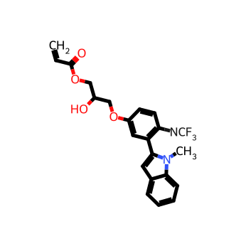 C=CC(=O)OCC(O)COc1ccc(NC(F)(F)F)c(-c2cc3ccccc3n2C)c1